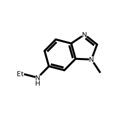 CCNc1ccc2ncn(C)c2c1